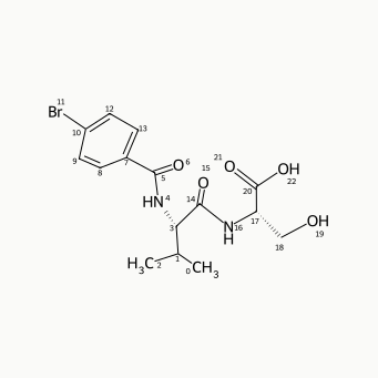 CC(C)[C@H](NC(=O)c1ccc(Br)cc1)C(=O)N[C@@H](CO)C(=O)O